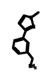 Cn1ccc(-c2cccc(CN)c2)n1